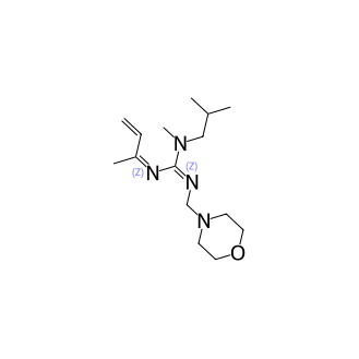 C=C/C(C)=N\C(=N/CN1CCOCC1)N(C)CC(C)C